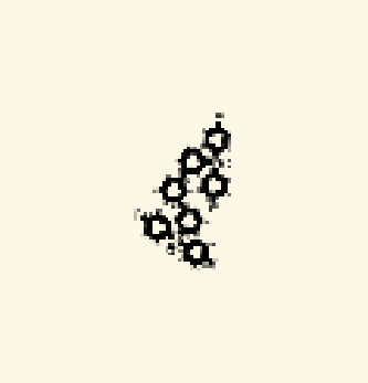 O=P(c1ccc(F)cc1)(c1ccc(F)cc1)c1cccc(-c2cccc(-c3cccc(P(=O)(c4ccc(F)cc4)c4ccc(F)cc4)c3)c2)c1